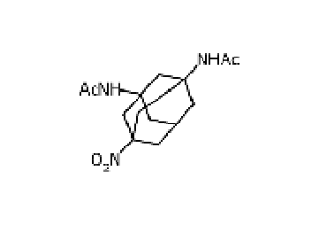 CC(=O)NC12CC3CC(NC(C)=O)(C1)CC([N+](=O)[O-])(C3)C2